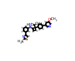 COc1cncc(-c2ccc(C3(C(C)C)CC=C3Nc3cccc(-c4csc(C)n4)c3)cc2)c1